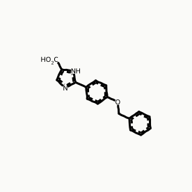 O=C(O)c1cnc(-c2ccc(OCc3ccccc3)cc2)[nH]1